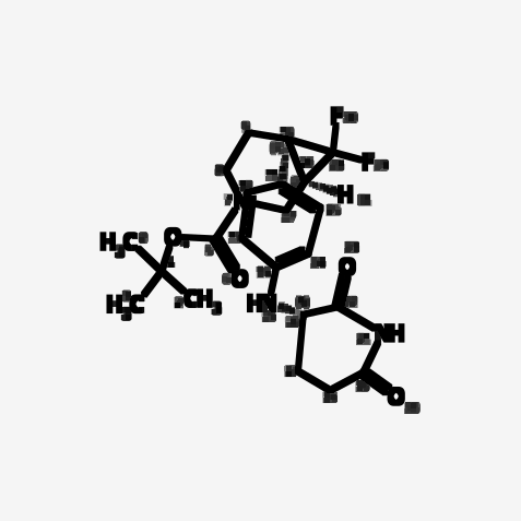 CC(C)(C)OC(=O)N1CC[C@]2(c3ccc(N[C@H]4CCC(=O)NC4=O)cc3)[C@H](C1)C2(F)F